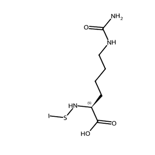 NC(=O)NCCCC[C@H](NSI)C(=O)O